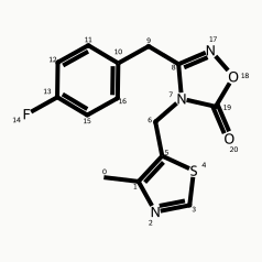 Cc1ncsc1Cn1c(Cc2ccc(F)cc2)noc1=O